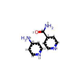 NC(=O)c1ccncc1.Nc1ccncc1